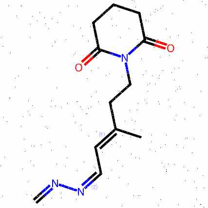 C=N/N=C\C=C(/C)CCN1C(=O)CCCC1=O